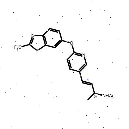 CC(=O)N[C@@H](C)/C=C/c1ccc(Oc2ccc3nc(C(F)(F)F)sc3c2)nc1